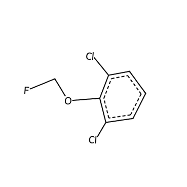 FCOc1c(Cl)cccc1Cl